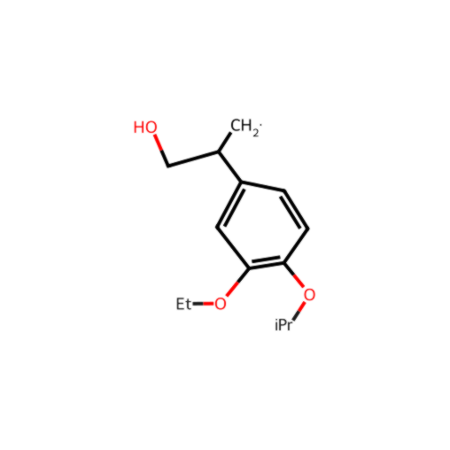 [CH2]C(CO)c1ccc(OC(C)C)c(OCC)c1